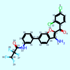 Nc1c(C(=O)c2ccc(Cl)cc2Cl)oc2cc(-c3cccc(NC(=O)C(F)(F)C(F)F)c3)ccc12